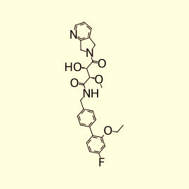 CCOc1cc(F)ccc1-c1ccc(CNC(=O)[C@H](OC)[C@@H](O)C(=O)N2Cc3cccnc3C2)cc1